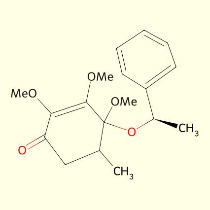 COC1=C(OC)C(OC)(O[C@H](C)c2ccccc2)C(C)CC1=O